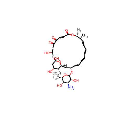 C[C@H]1/C=C/C=C/C=C/C=C/[C@H](O[C@@H]2O[C@H](C)[C@@H](O)[C@H](N)[C@@H]2O)C[C@@H]2O[C@](O)(C[C@@H](O)CC(=O)C(=O)/C=C/C(=O)O[C@@H]1C)C[C@H](O)[C@H]2C(=O)O